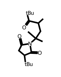 CC(CC(C)(C)N1C(=O)CC(C(C)(C)C)C1=O)C(=O)C(C)(C)C